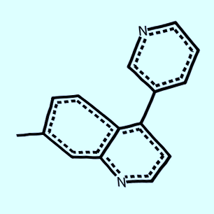 Cc1ccc2c(-c3cccnc3)ccnc2c1